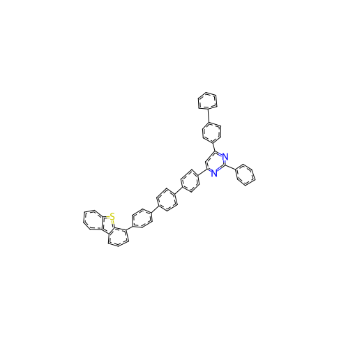 c1ccc(-c2ccc(-c3cc(-c4ccc(-c5ccc(-c6ccc(-c7cccc8c7sc7ccccc78)cc6)cc5)cc4)nc(-c4ccccc4)n3)cc2)cc1